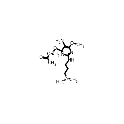 CC(=O)O.COc1nc(NCCCN(C)C)nc(OC)c1N